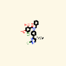 COc1cnc(Cl)nc1-c1ccc(N(Cc2ccccc2)C(=O)c2cc(Cl)c(O)cc2O)cc1